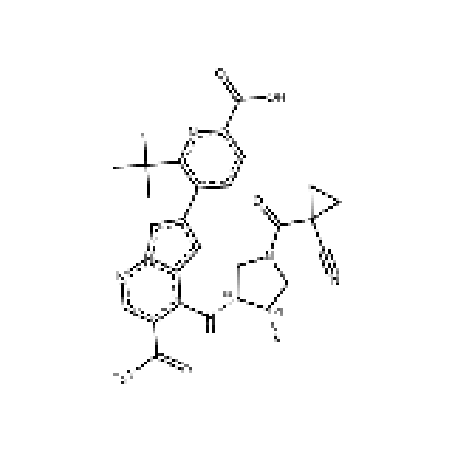 C[C@H]1CN(C(=O)C2(C#N)CC2)C[C@H]1Nc1c(C(N)=O)cnn2cc(-c3ccc(C(=O)O)nc3C(C)(C)C)cc12